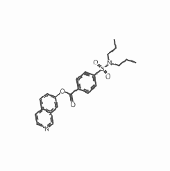 CCCN(CCC)S(=O)(=O)c1ccc(C(=O)Oc2ccc3ccncc3c2)cc1